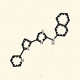 c1ccc(-c2ccc(-c3csc(Nc4ccc5ccccc5c4)n3)s2)nc1